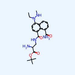 CCN(NC)c1ccc(C(=O)NCC(N)C(=O)OC(C)(C)C)c2c(C(N)=O)cccc12